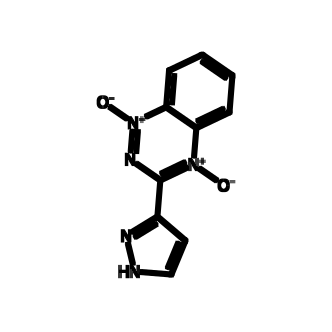 [O-][n+]1nc(-c2cc[nH]n2)[n+]([O-])c2ccccc21